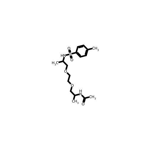 CC(=O)NC(C)COCCOCC(C)NS(=O)(=O)c1ccc(C)cc1